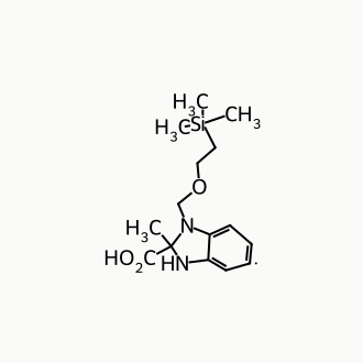 CC1(C(=O)O)Nc2c[c]ccc2N1COCC[Si](C)(C)C